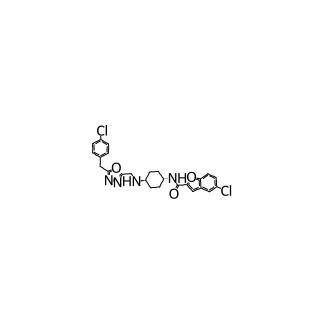 O=C(N[C@H]1CC[C@H](NCc2nnc(Cc3ccc(Cl)cc3)o2)CC1)c1cc2cc(Cl)ccc2o1